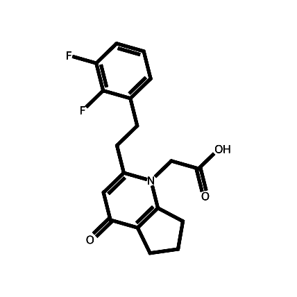 O=C(O)Cn1c(CCc2cccc(F)c2F)cc(=O)c2c1CCC2